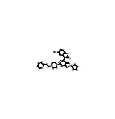 N#Cc1ccc2c(c1)C(c1nc(N3CCN(CCc4ccccn4)CC3)nc3nn(C4CCCC4)cc13)C(=O)N2